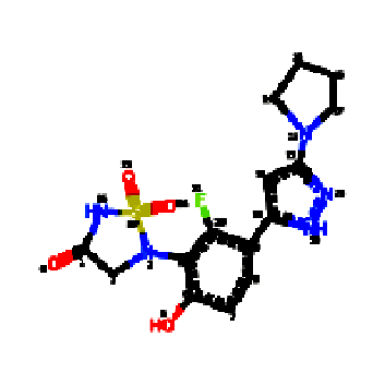 O=C1CN(c2c(O)ccc(-c3cc(N4CCCC4)n[nH]3)c2F)S(=O)(=O)N1